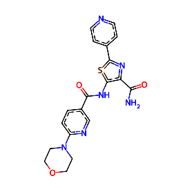 NC(=O)c1nc(-c2ccncc2)sc1NC(=O)c1ccc(N2CCOCC2)nc1